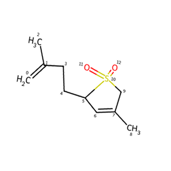 C=C(C)CCC1C=C(C)CS1(=O)=O